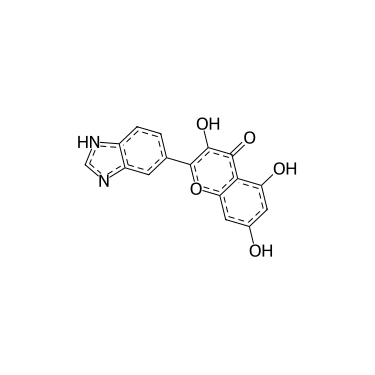 O=c1c(O)c(-c2ccc3[nH]cnc3c2)oc2cc(O)cc(O)c12